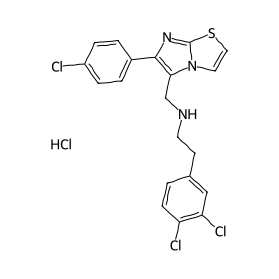 Cl.Clc1ccc(-c2nc3sccn3c2CNCCc2ccc(Cl)c(Cl)c2)cc1